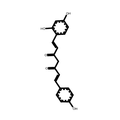 O=C(/C=C/c1ccc(O)cc1)CC(=O)/C=C/c1ccc(O)cc1O